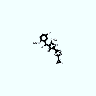 COc1ccc(Br)cc1C(=O)c1c(C=O)[nH]c(-c2nnc(C3CC3)o2)c1C